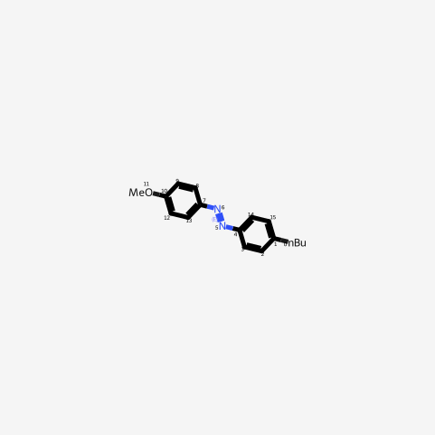 CCCCc1ccc(/N=N/c2ccc(OC)cc2)cc1